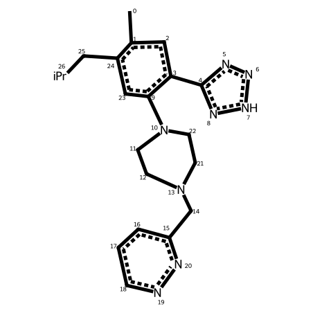 Cc1cc(-c2nn[nH]n2)c(N2CCN(Cc3cccnn3)CC2)cc1CC(C)C